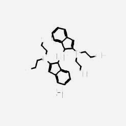 CCCP(CCC)C1=Cc2ccccc2[CH]1[Hf+2][CH]1C(P(CCC)CCC)=Cc2ccccc21.[Cl-].[Cl-]